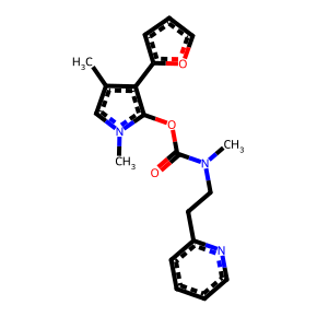 Cc1cn(C)c(OC(=O)N(C)CCc2ccccn2)c1-c1ccco1